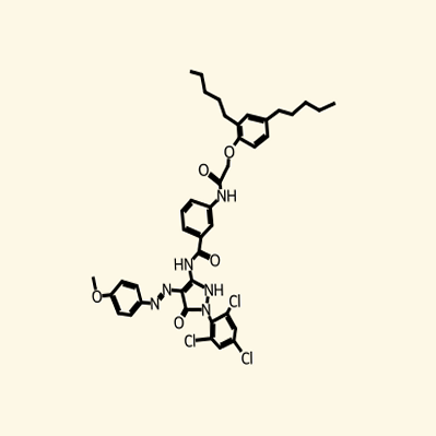 CCCCCc1ccc(OCC(=O)Nc2cccc(C(=O)Nc3[nH]n(-c4c(Cl)cc(Cl)cc4Cl)c(=O)c3/N=N/c3ccc(OC)cc3)c2)c(CCCCC)c1